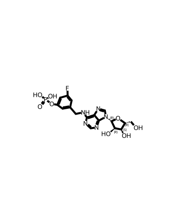 O=P(O)(O)Oc1cc(F)cc(CNc2ncnc3c2ncn3[C@@H]2O[C@H](CO)[C@@H](O)[C@H]2O)c1